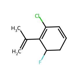 C=C(C)C1=C(Cl)C=CCC1F